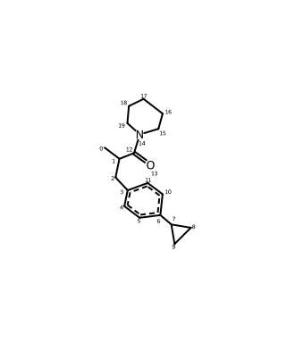 CC(Cc1ccc(C2CC2)cc1)C(=O)N1CCCCC1